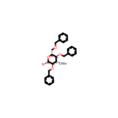 CO[C@@H]1[C@@H](OCc2ccccc2)[C@@H](Br)O[C@H](COCc2ccccc2)[C@H]1OCc1ccccc1